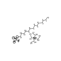 CCCCCCCCCCCCCCOS(=O)(=O)F.CC[N+](CC)(CC)CC